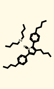 CCCCC1=C(c2ccc(CCCC)cc2)[N+](=[N-])C(c2ccc(CCCC)cc2)=C1.CCC[CH2][Pd][CH2]CCC